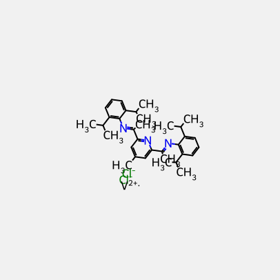 CC(=Nc1c(C(C)C)cccc1C(C)C)c1cc(C)cc(C(C)=Nc2c(C(C)C)cccc2C(C)C)n1.[Cl-].[Cl-].[V+2]